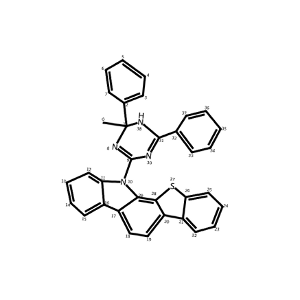 CC1(c2ccccc2)N=C(n2c3ccccc3c3ccc4c5ccccc5sc4c32)N=C(c2ccccc2)N1